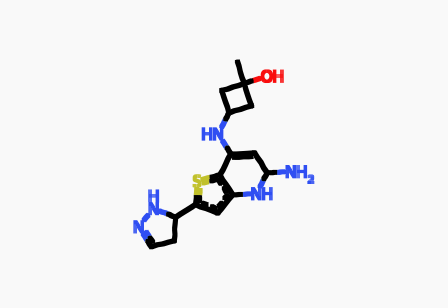 CC1(O)CC(NC2=CC(N)Nc3cc(C4CC=NN4)sc32)C1